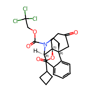 O=C1CC[C@@]2(OC(=O)C3CCC3)[C@H]3Cc4ccccc4[C@@]2(CCN3C(=O)OCC(Cl)(Cl)Cl)C1